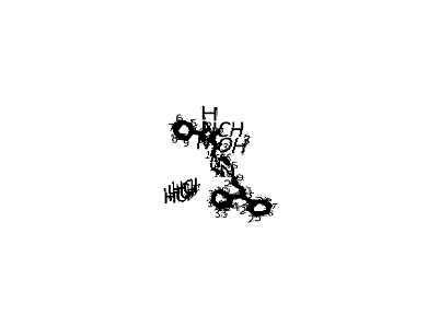 Cc1[nH]c(-c2ccccc2)nc1C(O)CN1CCN(CCCC(c2ccccc2)c2ccccc2)CC1.Cl.Cl.Cl